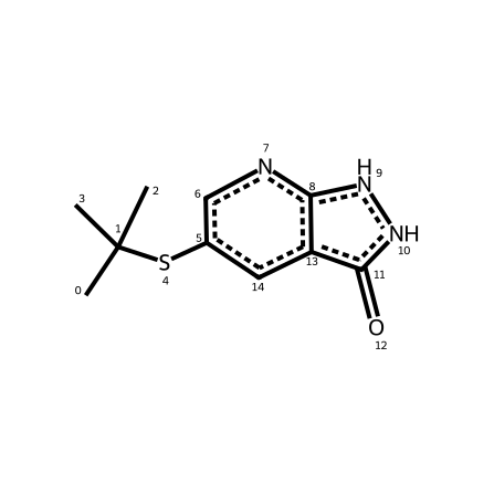 CC(C)(C)Sc1cnc2[nH][nH]c(=O)c2c1